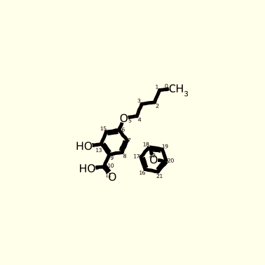 CCCCCOc1ccc(C(=O)O)c(O)c1.c1cc2cc(c1)O2